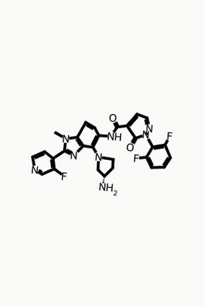 Cn1c(-c2ccncc2F)nc2c(N3CC[C@H](N)C3)c(NC(=O)c3ccnn(-c4c(F)cccc4F)c3=O)ccc21